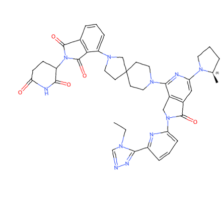 CCn1cnnc1-c1cccc(N2Cc3c(cc(N4CCC[C@H]4C)nc3N3CCC4(CCN(c5cccc6c5C(=O)N(C5CCC(=O)NC5=O)C6=O)C4)CC3)C2=O)n1